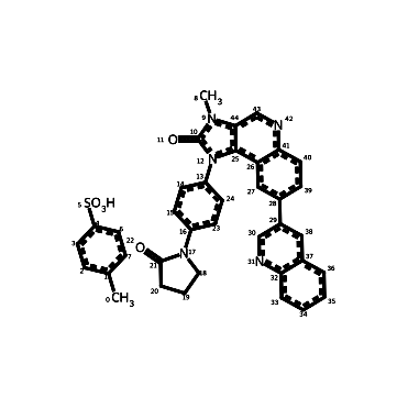 Cc1ccc(S(=O)(=O)O)cc1.Cn1c(=O)n(-c2ccc(N3CCCC3=O)cc2)c2c3cc(-c4cnc5ccccc5c4)ccc3ncc21